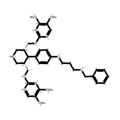 COc1cnc(OC[C@H]2CNC[C@@H](COc3ncc(OC)c(OC)n3)C2c2ccc(OCCCOCc3ccccc3)cc2)nc1OC